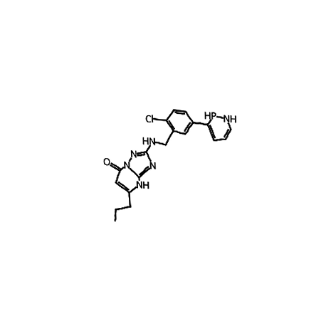 CCCc1cc(=O)n2nc(NCc3cc(C4=CC=CNP4)ccc3Cl)nc2[nH]1